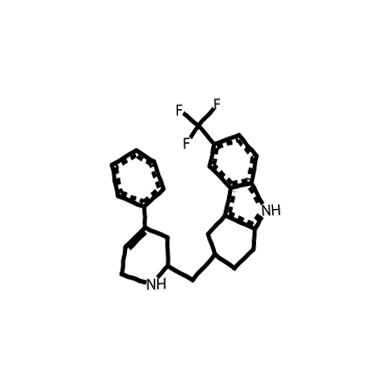 FC(F)(F)c1ccc2[nH]c3c(c2c1)CC(CC1CC(c2ccccc2)=CCN1)CC3